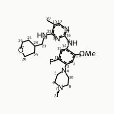 COc1cc(N2CCN(I)CC2)c(F)cc1Nc1ncc(C)c(NCC2CCOCC2)n1